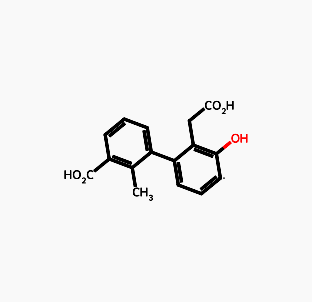 Cc1c(C(=O)O)cccc1-c1cc[c]c(O)c1CC(=O)O